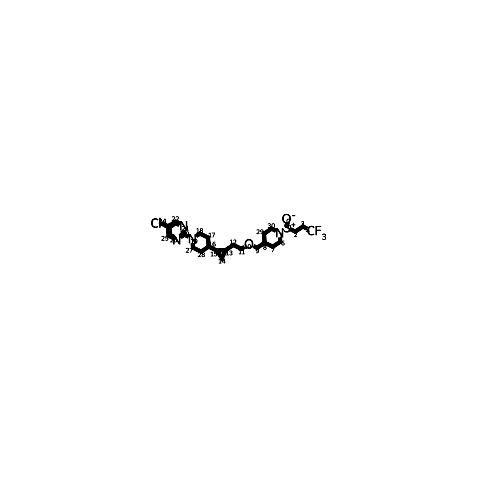 [O-][S+](CCC(F)(F)F)N1CCC(COCCC2CC2C2CCN(c3ncc(Cl)cn3)CC2)CC1